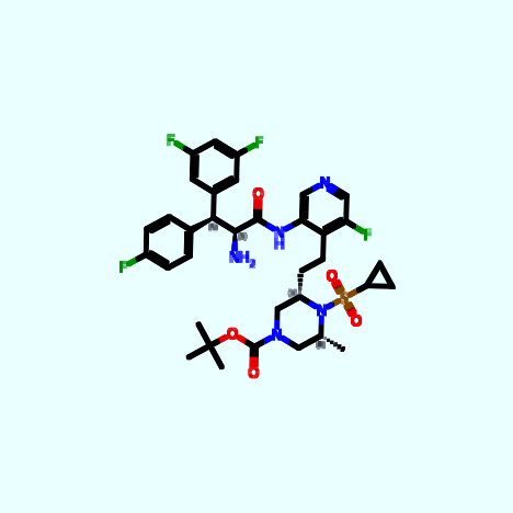 C[C@@H]1CN(C(=O)OC(C)(C)C)C[C@H](CCc2c(F)cncc2NC(=O)[C@@H](N)[C@@H](c2ccc(F)cc2)c2cc(F)cc(F)c2)N1S(=O)(=O)C1CC1